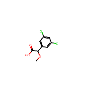 COC(C(=O)O)c1cc(Cl)cc(Cl)c1